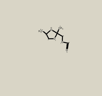 CC1COC(C)(COC=O)O1